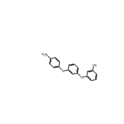 N#Cc1cccc(Oc2cccc(Oc3ccc(N)cc3)c2)c1